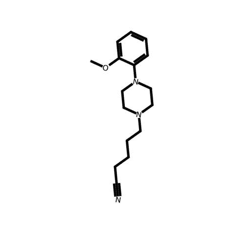 COc1ccccc1N1CCN(CCCCC#N)CC1